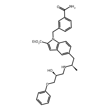 CCOC(=O)c1cc2cc(C[C@@H](C)NC[C@H](O)COc3ccccc3)ccc2n1Cc1cccc(C(N)=O)c1